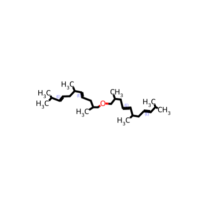 CC(C)/C=C/CC(C)/C=C/CC(C)COCC(C)C/C=C/C(C)C/C=C/C(C)C